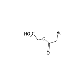 CC(=O)CC(=O)OCC(=O)O